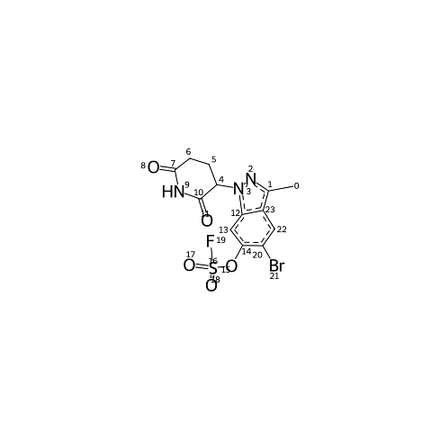 Cc1nn(C2CCC(=O)NC2=O)c2cc(OS(=O)(=O)F)c(Br)cc12